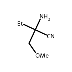 CCC(N)(C#N)COC